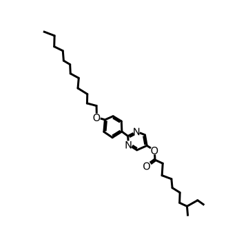 CCCCCCCCCCCCOc1ccc(-c2ncc(OC(=O)CCCCCCC(C)CC)cn2)cc1